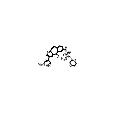 CN/C=C(\C=N)c1cnc2ccc3ccc(NS(=O)(=O)N(C)C[C@H]4COCCO4)cc3c(=O)c2c1